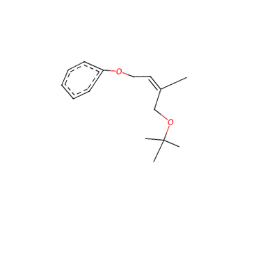 CC(=CCOc1ccccc1)COC(C)(C)C